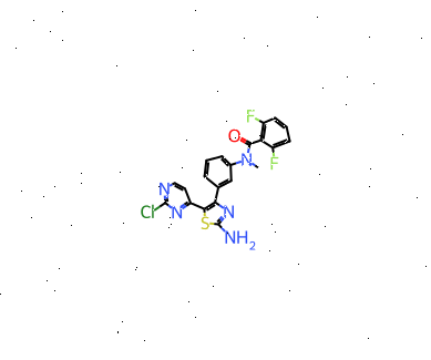 CN(C(=O)c1c(F)cccc1F)c1cccc(-c2nc(N)sc2-c2ccnc(Cl)n2)c1